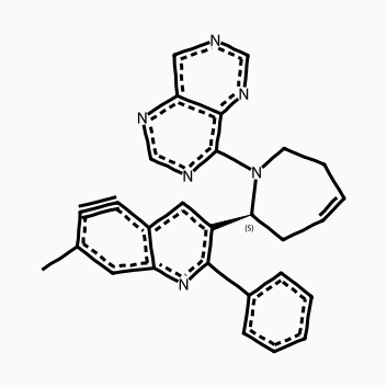 Cc1c#cc2cc([C@@H]3CC=CCCN3c3ncnc4cncnc34)c(-c3ccccc3)nc2c1